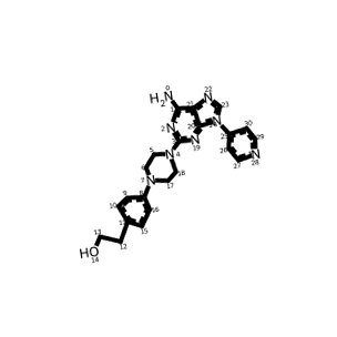 Nc1nc(N2CCN(c3ccc(CCO)cc3)CC2)nc2c1ncn2-c1ccncc1